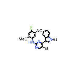 CCc1cnc(Nc2cc([N+](=O)[O-])c(F)cc2OC)nc1-c1cn(CC)c2ccccc12